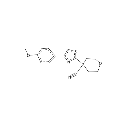 COc1ccc(-c2csc(C3(C#N)CCOCC3)n2)cc1